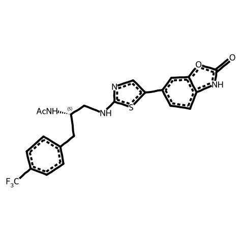 CC(=O)N[C@H](CNc1ncc(-c2ccc3[nH]c(=O)oc3c2)s1)Cc1ccc(C(F)(F)F)cc1